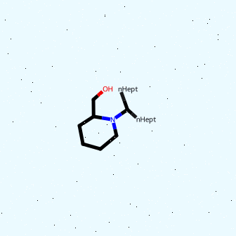 CCCCCCCC(CCCCCCC)N1CCCCC1CO